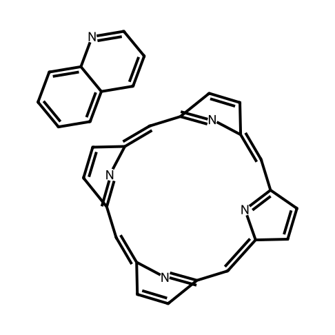 C1=CC2=NC1=CC1=NC(=CC3=NC(=CC4=NC(=C2)C=C4)C=C3)C=C1.c1ccc2ncccc2c1